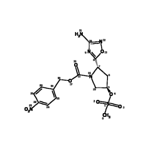 CS(=O)(=O)O[C@@H]1C[C@@H](c2nc(N)no2)N(C(=O)OCc2ccc([N+](=O)[O-])cc2)C1